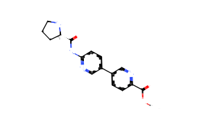 CC(C)(C)OC(=O)c1ccc(-c2ccc(NC(=O)[C@H]3CCCN3)nc2)cn1